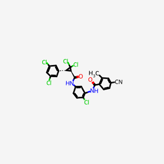 Cc1cc(C#N)ccc1C(=O)Nc1cc(NC(=O)[C@H]2[C@H](c3cc(Cl)cc(Cl)c3)C2(Cl)Cl)ccc1Cl